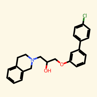 OC(COc1cccc(-c2ccc(Cl)cc2)c1)CN1CCc2ccccc2C1